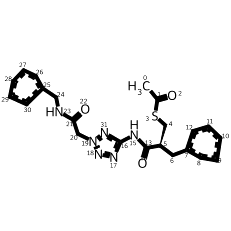 CC(=O)SC[C@@H](Cc1ccccc1)C(=O)Nc1nnn(CC(=O)NCc2ccccc2)n1